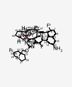 CC(C)[Si](C#Cc1c(F)ccc2cc(N)cc(-c3nc4c5c(nc(OC[C@@]67CCCN6C[C@H](F)C7)nc5c3F)N3C[C@H]5CC[C@@H]([C@@H]3CC[C@H]4C)N5C(=O)OC(C)(C)C)c12)(C(C)C)C(C)C